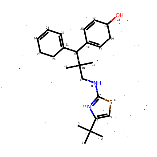 CC(C)(C)c1csc(NCC(C)(C)C(C2=CCC(O)C=C2)C2=CC=CCC2)n1